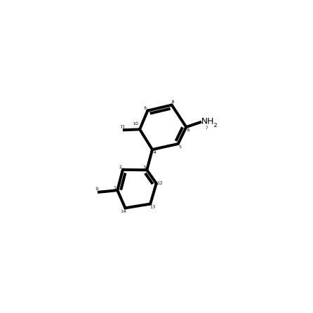 CC1=CC(C2C=C(N)C=CC2C)=CCC1